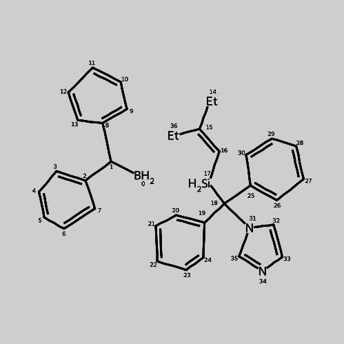 BC(c1ccccc1)c1ccccc1.CCC(=C[SiH2]C(c1ccccc1)(c1ccccc1)n1ccnc1)CC